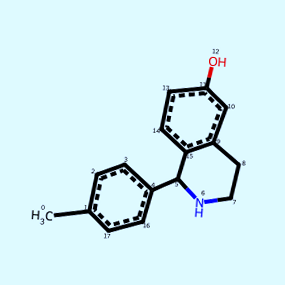 Cc1ccc(C2NCCc3cc(O)ccc32)cc1